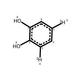 [2H]c1cc([2H])c(O)c(O)c1